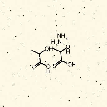 CC(O)C(O)=S.CC(O)C(O)=S.N.N